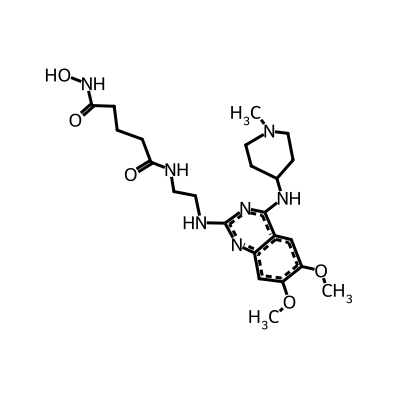 COc1cc2nc(NCCNC(=O)CCCC(=O)NO)nc(NC3CCN(C)CC3)c2cc1OC